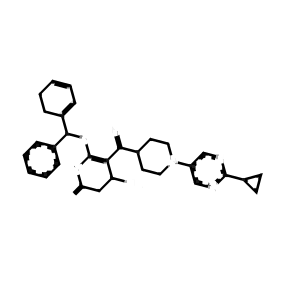 N=C(C1=C(NC(C2=CC=CCC2)c2ccccc2)NC(=O)CC1C(F)(F)F)C1CCN(c2cnc(C3CC3)nc2)CC1